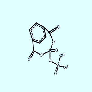 O=C1OP(=O)(OP(=O)(O)O)OC(=O)c2ccc1cc2